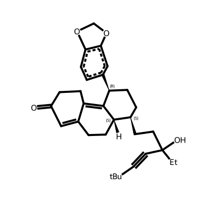 CCC(O)(C#CC(C)(C)C)CC[C@@H]1CC[C@H](c2ccc3c(c2)OCO3)C2=C3CCC(=O)C=C3CC[C@H]21